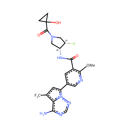 COc1ncc(-c2cc(C(F)(F)F)c3c(N)ncnn23)cc1C(=O)N[C@@H]1CN(C(=O)C2(O)CC2)C[C@@H]1F